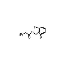 CC(C)CC(=O)OCc1c(F)cccc1F